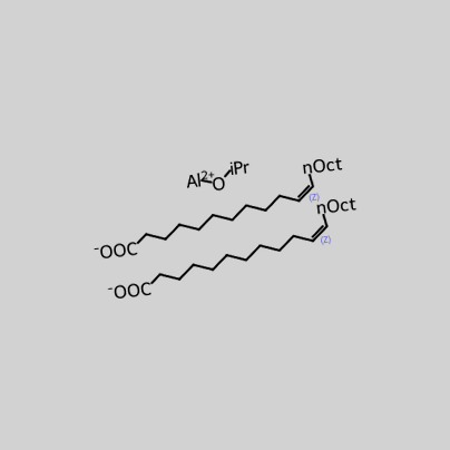 CC(C)[O][Al+2].CCCCCCCC/C=C\CCCCCCCCCC(=O)[O-].CCCCCCCC/C=C\CCCCCCCCCC(=O)[O-]